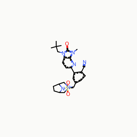 Cn1c(=O)n(CC(C)(C)C)c2ccc(-c3cc(CN4CC5CCC(C4)N5S(C)(=O)=O)ccc3C#N)nc21